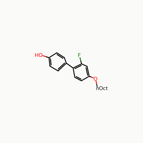 CCCCCCCCOc1ccc(-c2ccc(O)cc2)c(F)c1